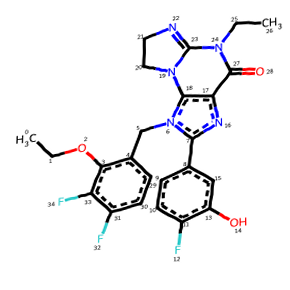 CCOc1c(Cn2c(-c3ccc(F)c(O)c3)nc3c2N2CCN=C2N(CC)C3=O)ccc(F)c1F